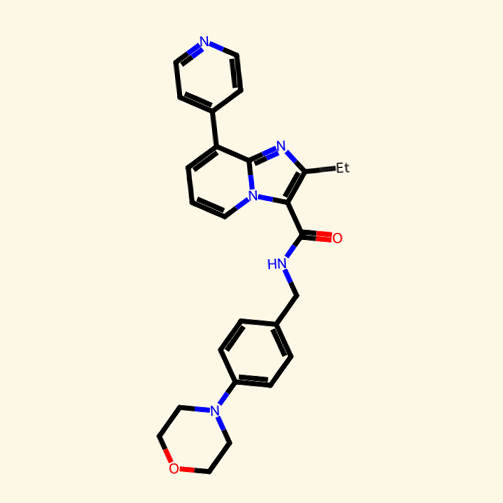 CCc1nc2c(-c3ccncc3)cccn2c1C(=O)NCc1ccc(N2CCOCC2)cc1